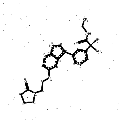 CC(C)[C@](N)(C(=O)NCC(F)(F)F)c1cncc(-c2c[nH]c3ncc(OCCN4CCCC4=O)cc23)c1